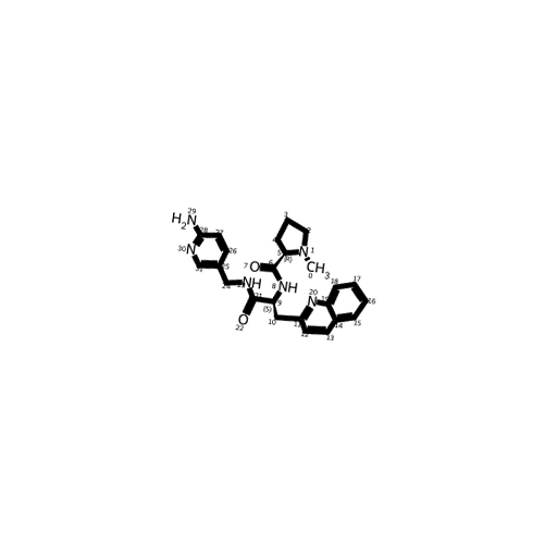 CN1CCC[C@@H]1C(=O)N[C@@H](Cc1ccc2ccccc2n1)C(=O)NCc1ccc(N)nc1